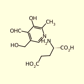 Cc1ncc(CO)c(C=O)c1O.N[C@@H](CCC(=O)O)C(=O)O